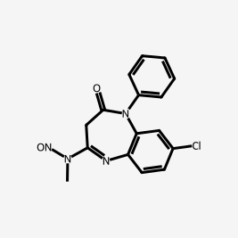 CN(N=O)C1=Nc2ccc(Cl)cc2N(c2ccccc2)C(=O)C1